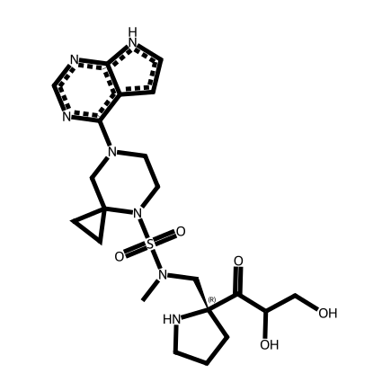 CN(C[C@@]1(C(=O)C(O)CO)CCCN1)S(=O)(=O)N1CCN(c2ncnc3[nH]ccc23)CC12CC2